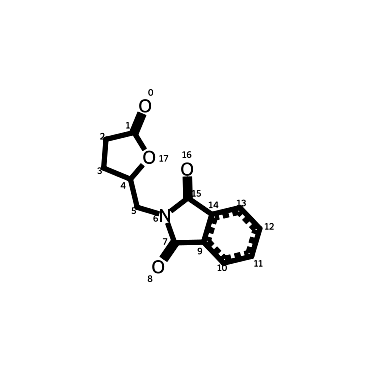 O=C1CCC(CN2C(=O)c3ccccc3C2=O)O1